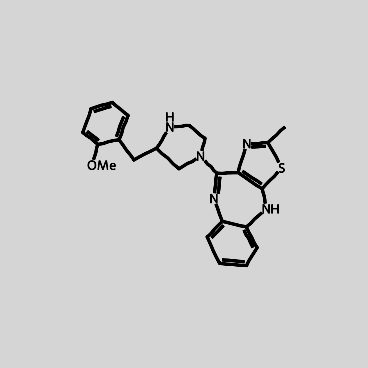 COc1ccccc1CC1CN(C2=Nc3ccccc3Nc3sc(C)nc32)CCN1